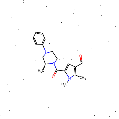 Cc1c(C=O)cc(C(=O)N2CCN(c3ccccc3)C[C@@H]2C)n1C